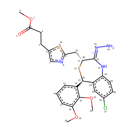 COC(=O)CCc1cnc(C[C@H]2S[C@H](c3cccc(OC)c3OC)c3cc(Cl)ccc3N/C2=N\N)s1